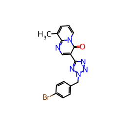 Cc1cccn2c(=O)c(-c3nnn(Cc4ccc(Br)cc4)n3)cnc12